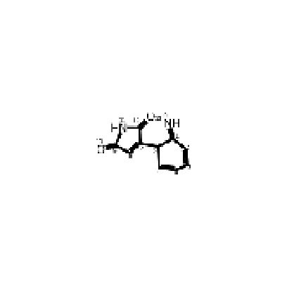 N=C1C=CC=CC1C1=CC(=O)NC1=O